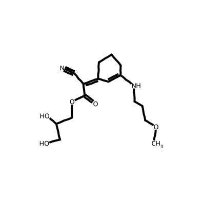 COCCCNC1=C/C(=C(/C#N)C(=O)OCC(O)CO)CCC1